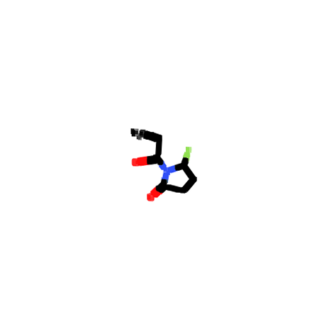 C=CC(=O)N1C(=O)CCC1F